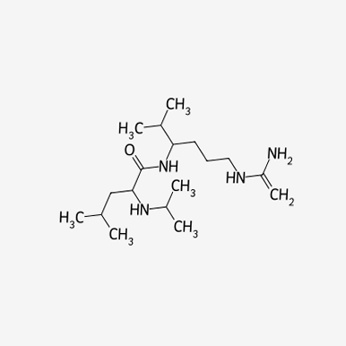 C=C(N)NCCCC(NC(=O)C(CC(C)C)NC(C)C)C(C)C